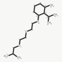 CC(C)COCCOCCOC1CCCC(C)C1C(C)C